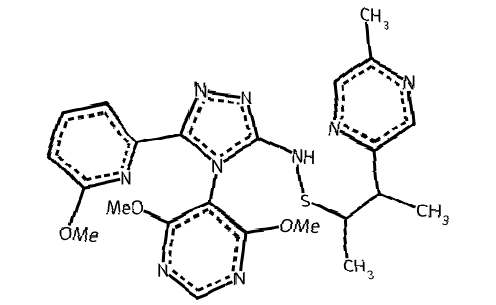 COc1cccc(-c2nnc(NSC(C)C(C)c3cnc(C)cn3)n2-c2c(OC)ncnc2OC)n1